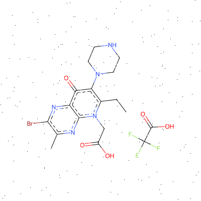 CCc1c(N2CCNCC2)c(=O)c2nc(Br)c(C)nc2n1CC(=O)O.O=C(O)C(F)(F)F